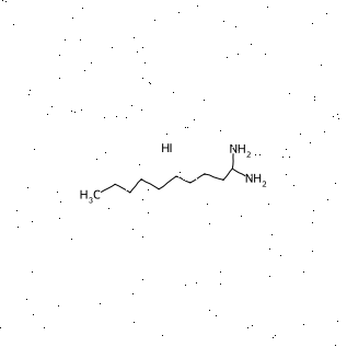 CCCCCCCCCC(N)N.I